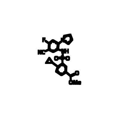 COC(=O)c1ccc(C2CC2)c(S(=O)(=O)Nc2cc(C#N)c(F)cc2-n2cccc2)c1